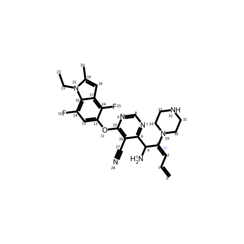 C=C/C=C(\C(N)c1ncnc(Oc2cc(F)c3c(cc(C)n3CC)c2F)c1C#N)N1CCNCC1